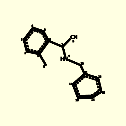 Cc1ccccc1C(C#N)NCc1ccccc1